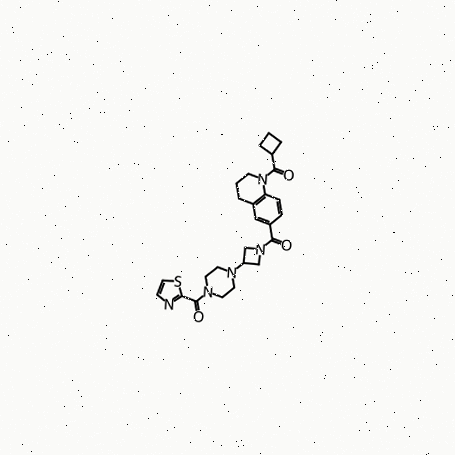 O=C(c1ccc2c(c1)CCCN2C(=O)C1CCC1)N1CC(N2CCN(C(=O)c3nccs3)CC2)C1